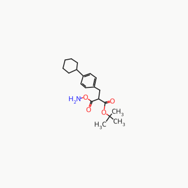 CC(C)(C)OC(=O)C(Cc1ccc(C2CCCCC2)cc1)C(=O)ON